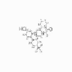 CC(C(=O)N1CCCCC1)N1CCN(c2ccccc2C2CCC(C(C)(C)C)CC2)CC1.Cl